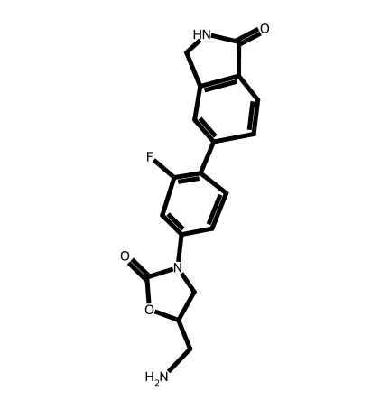 NCC1CN(c2ccc(-c3ccc4c(c3)CNC4=O)c(F)c2)C(=O)O1